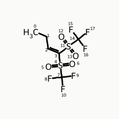 CCC=C(S(=O)(=O)C(F)(F)F)S(=O)(=O)C(F)(F)F